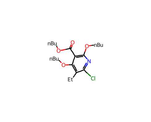 CCCCOC(=O)c1c(OCCCC)nc(Cl)c(CC)c1OCCCC